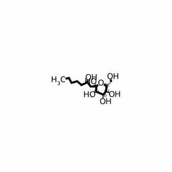 CCCCCC(O)C[C@]1(O)O[C@H](CO)[C@@H](O)[C@H](O)[C@H]1O